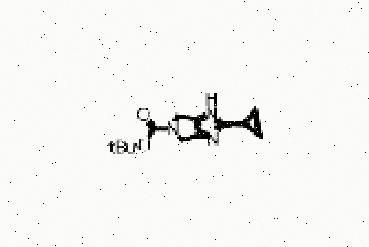 CC(C)(C)OC(=O)N1Cc2nc(C3CC3)[nH]c2C1